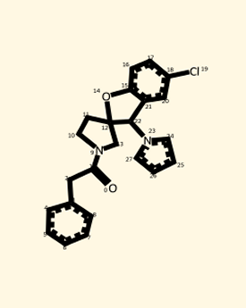 O=C(Cc1ccccc1)N1CCC2(C1)Oc1ccc(Cl)cc1C2n1cccc1